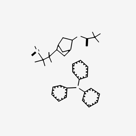 CC(C)(C)C(=O)OC1CC2CC1CC2C(F)(F)C(F)(F)S(=O)(=O)[O-].c1ccc([S+](c2ccccc2)c2ccccc2)cc1